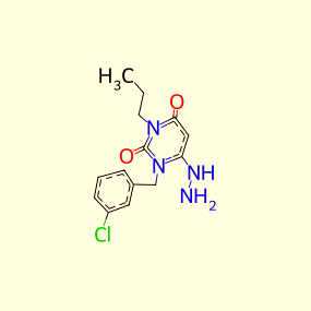 CCCn1c(=O)cc(NN)n(Cc2cccc(Cl)c2)c1=O